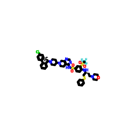 CC(c1ccccc1-c1ccc(Cl)cc1)N1CCC(N2CCc3c(ncnc3NS(=O)(=O)c3ccc(N[C@H](CCN4CCOCC4)CSc4ccccc4)c(S(=O)(=O)C(F)(F)F)c3)C2)CC1